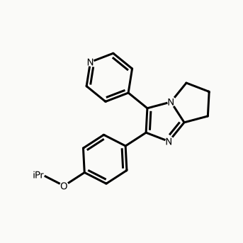 CC(C)Oc1ccc(-c2nc3n(c2-c2ccncc2)CCC3)cc1